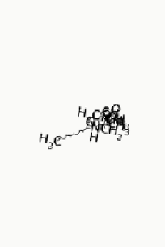 CCCCCCCCCCCC(=O)NC1CC(C)(CC)N(OC(C)c2ccccc2)C(C)(CC)C1C